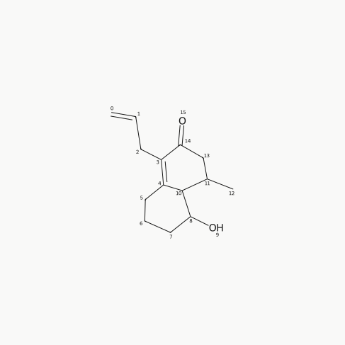 C=CCC1=C2CCCC(O)C2C(C)CC1=O